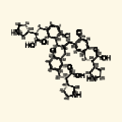 O=C(O)[C@@H](Cc1ccc(Cl)c(CN(Cc2cc(C[C@H](C(=O)O)[C@H]3CCNC3)ccc2Cl)Cc2cc(C[C@H](C(=O)O)[C@H]3CCNC3)ccc2Cl)c1)[C@H]1CCNC1